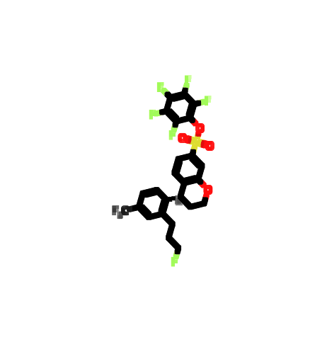 O=S(=O)(Oc1c(F)c(F)c(F)c(F)c1F)c1ccc2c(c1)OCC[C@@H]2c1ccc(C(F)(F)F)cc1CCCF